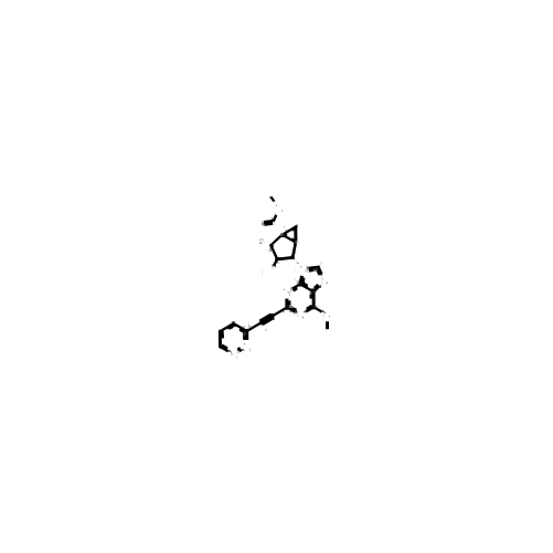 CNC(=O)[C@]12CC1[C@@H](n1cnc3c(NC)nc(C#Cc4cccnn4)nc31)C(O)[C@@H]2O